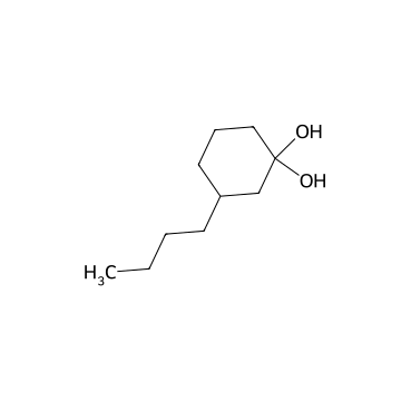 CCCCC1CCCC(O)(O)C1